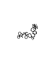 CC1=C(N2CC[C@]3(CC[C@@H](N(C)Cc4ccc5c(c4)CCc4nnnn4-5)CC3)C2=O)COC1=O